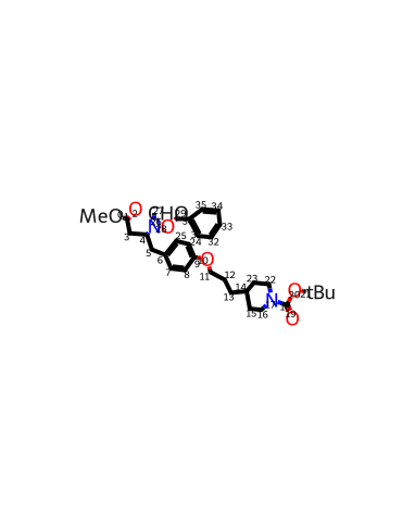 COC(=O)CC(Cc1ccc(OCCCC2CCN(C(=O)OC(C)(C)C)CC2)cc1)N(C=O)OCc1ccccc1